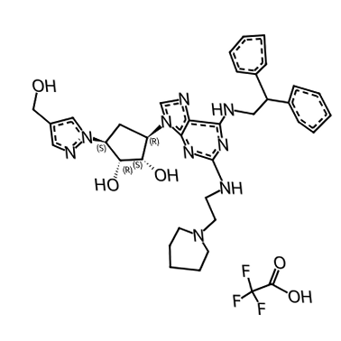 O=C(O)C(F)(F)F.OCc1cnn([C@H]2C[C@@H](n3cnc4c(NCC(c5ccccc5)c5ccccc5)nc(NCCN5CCCCC5)nc43)[C@H](O)[C@@H]2O)c1